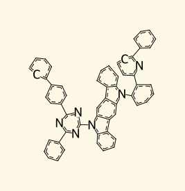 c1ccc(-c2ccc(-c3nc(-c4ccccc4)nc(-n4c5ccccc5c5cc6c(cc54)c4ccccc4n6-c4ccccc4-c4cccc(-c5ccccc5)n4)n3)cc2)cc1